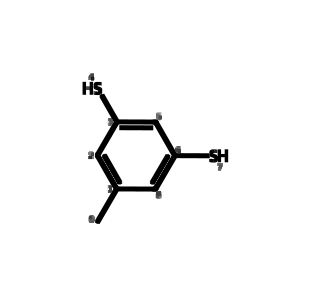 Cc1cc(S)cc(S)c1